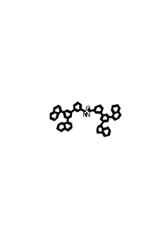 c1cc(-c2cc(-c3cccc4ccccc34)cc(-c3cccc4ccccc34)c2)cc(-c2nnc(-c3cccc(-c4cc(-c5cccc6ccccc56)cc(-c5cccc6ccccc56)c4)c3)o2)c1